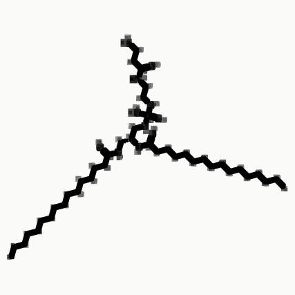 CCCCCCCCCCCCCCCC(=O)OC[C@H](COP(=O)(O)OCCNC(=O)CCS)OC(=O)CCCCCCCCCCCCCCC